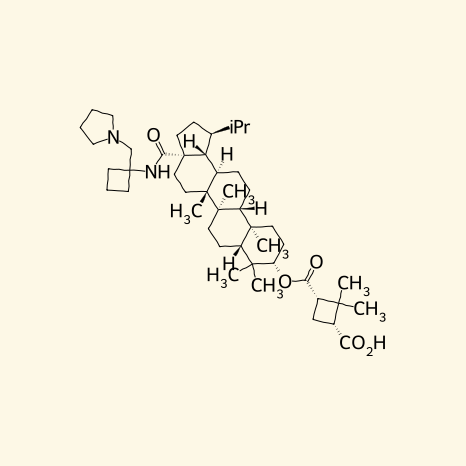 CC(C)[C@@H]1CC[C@]2(C(=O)NC3(CN4CCCC4)CCC3)CC[C@]3(C)[C@H](CC[C@@H]4[C@@]5(C)CC[C@H](OC(=O)[C@H]6C[C@@H](C(=O)O)C6(C)C)C(C)(C)[C@@H]5CC[C@]43C)[C@@H]12